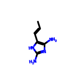 CC=Cc1[nH]c(N)nc1N